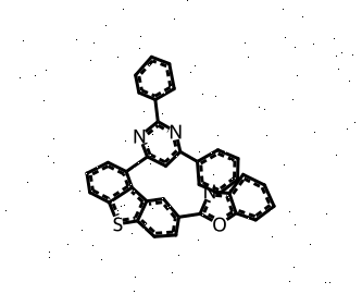 c1ccc(-c2cc(-c3cccc4sc5ccc(-c6nc7ccccc7o6)cc5c34)nc(-c3ccccc3)n2)cc1